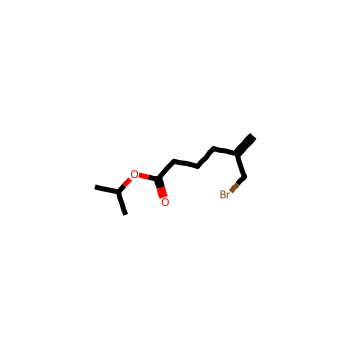 C=C(CBr)CCCC(=O)OC(C)C